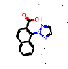 O=C(O)c1ccc2ccccc2c1-n1nccn1